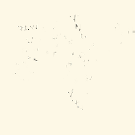 COC(=O)CCCCCO[C@H]1OC(C)[C@@H](N=[N+]=[N-])[C@H](C)C1O[C@H]1OC(C)[C@@H](N=[N+]=[N-])[C@H](C)C1O[C@H]1OC(C)[C@@H](N=[N+]=[N-])[C@H](C)C1OC(=O)c1ccccc1